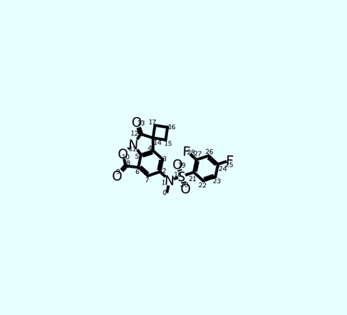 CN(c1cc2c3c(c1)c(=O)on3C(=O)C21CCC1)S(=O)(=O)c1ccc(F)cc1F